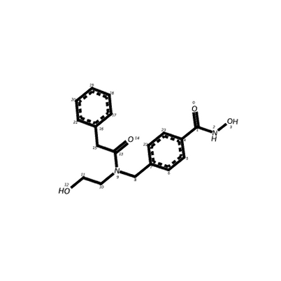 O=C(NO)c1ccc(CN(CCO)C(=O)Cc2ccccc2)cc1